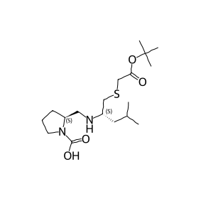 CC(C)C[C@@H](CSCC(=O)OC(C)(C)C)NC[C@@H]1CCCN1C(=O)O